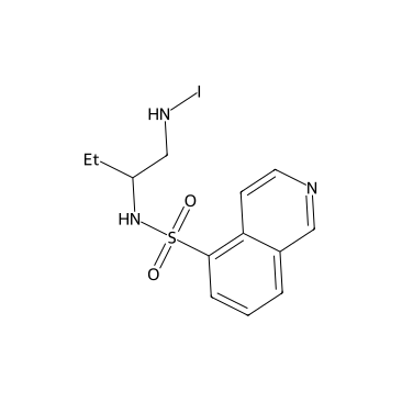 CCC(CNI)NS(=O)(=O)c1cccc2cnccc12